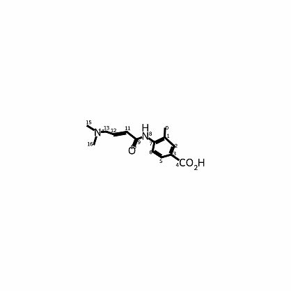 Cc1cc(C(=O)O)ccc1NC(=O)/C=C/CN(C)C